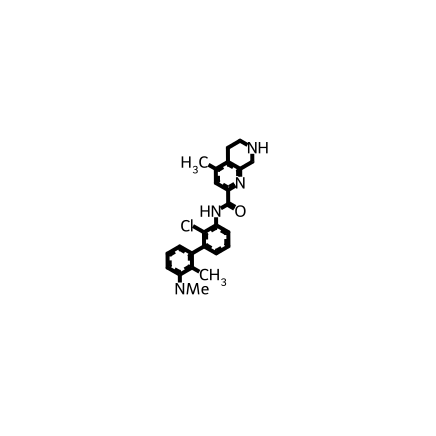 CNc1cccc(-c2cccc(NC(=O)c3cc(C)c4c(n3)CNCC4)c2Cl)c1C